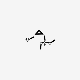 C1CC1.CN.CO[SiH](C)OC